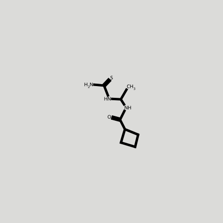 CC(NC(=O)C1CCC1)NC(N)=S